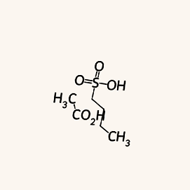 CC(=O)O.CCCCS(=O)(=O)O